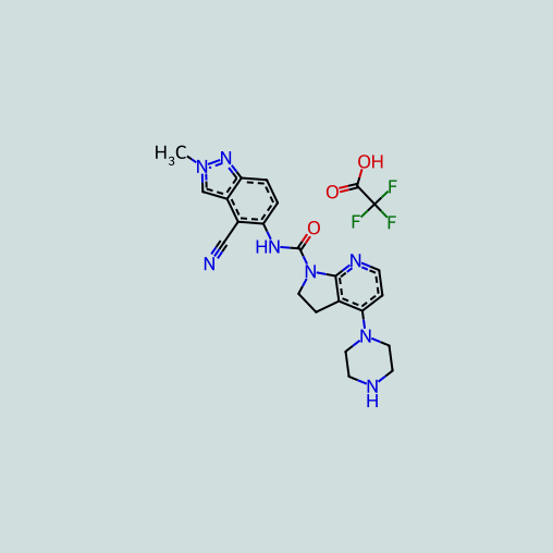 Cn1cc2c(C#N)c(NC(=O)N3CCc4c(N5CCNCC5)ccnc43)ccc2n1.O=C(O)C(F)(F)F